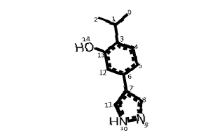 CC(C)c1ccc(-c2cn[nH]c2)cc1O